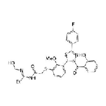 CCC(=NCO)NC(=O)CSc1cccc(C2SC(c3ccc(F)cc3)=NN2C(=O)c2ccccc2O)c1OC